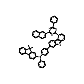 CC1(C)c2ccccc2-c2ccc(N(c3ccccc3)c3ccc(-c4ccc5c(c4)oc4cccc(-c6nc(-c7ccccc7)nc(-c7ccc8ccccc8c7)n6)c45)cc3)cc21